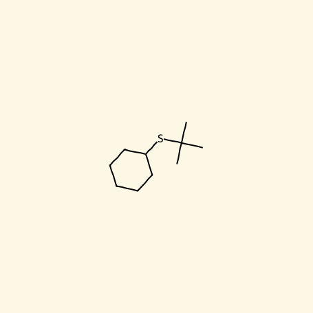 CC(C)(C)SC1CCCCC1